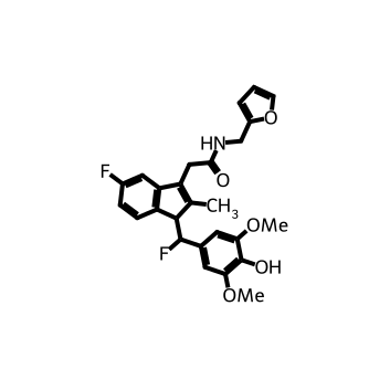 COc1cc(C(F)C2C(C)=C(CC(=O)NCc3ccco3)c3cc(F)ccc32)cc(OC)c1O